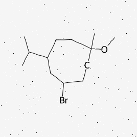 COC1(C)CCC(Br)CC(C(C)C)CC1